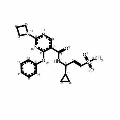 CS(=O)(=O)/C=C/C(NC(=O)c1cnc(N2CCC2)nc1Oc1ccccc1)C1CC1